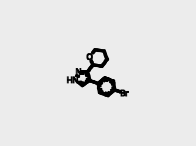 Brc1ccc(-c2c[nH]nc2C2CCCCO2)cc1